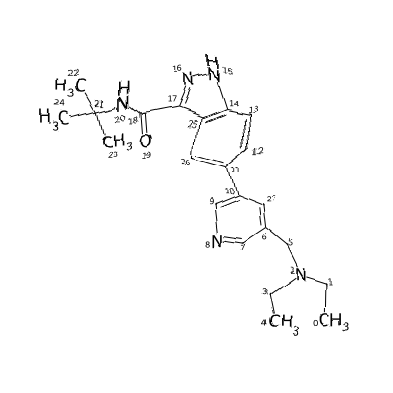 CCN(CC)Cc1cncc(-c2ccc3[nH]nc(C(=O)NC(C)(C)C)c3c2)c1